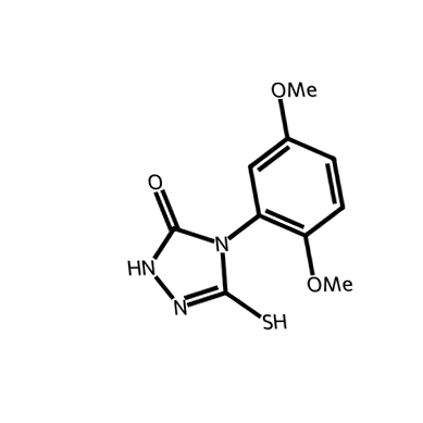 COc1ccc(OC)c(-n2c(S)n[nH]c2=O)c1